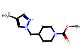 CC(C)(C)OC(=O)N1CCC(Cn2cc(C(=O)O)cn2)CC1